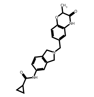 CC1Oc2ccc(CN3Cc4ccc(NC(=O)C5CC5)cc4C3)cc2NC1=O